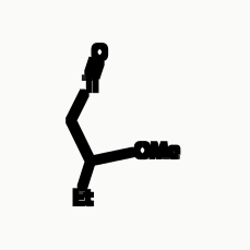 CCC([CH2][Ti]=[O])OC